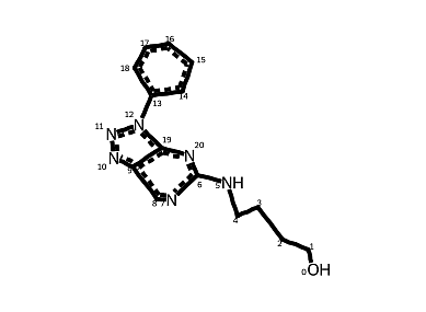 OCCCCNc1ncc2nnn(-c3ccccc3)c2n1